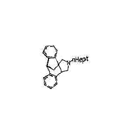 CCCCCCCN1CC2c3ccccc3C3CC2(C1)c1ccccc13